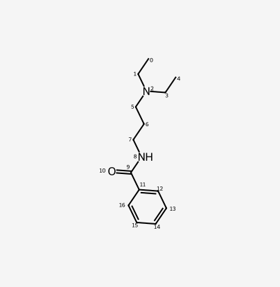 CCN(CC)CCCNC(=O)c1ccccc1